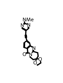 CNc1ncc(C#Cc2ccc3c(=O)n4c(nc3c2)CCC2(CC4)OCCO2)cn1